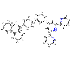 c1ccc(-c2cc(-c3cccc(-c4ccc(-c5cc6ccccc6c6ccccc56)cc4)c3)cc(-c3ccccn3)n2)nc1